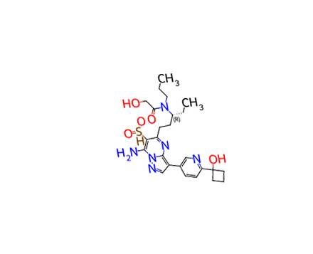 CCCN(C(=O)CO)[C@H](CC)CCc1nc2c(-c3ccc(C4(O)CCC4)nc3)cnn2c(N)c1[SH](=O)=O